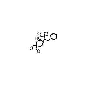 COCC1(C=O)CCN(C(Cc2ccccc2)C2(C(=O)O)CCC2)CC1